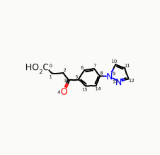 O=C(O)CCC(=O)c1ccc(-n2cccn2)cc1